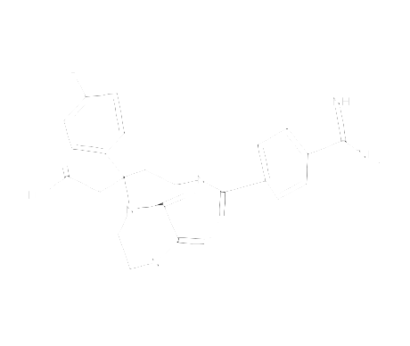 N=C(N)c1ccc(C(=O)NCCC(CC(=O)O)(c2ccc(F)cc2)N2CCNC(=O)C2=O)cc1